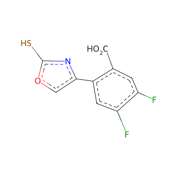 O=C(O)c1cc(F)c(F)cc1-c1coc(S)n1